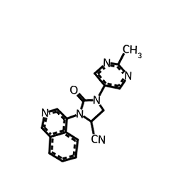 Cc1ncc(N2CC(C#N)N(c3cncc4ccccc34)C2=O)cn1